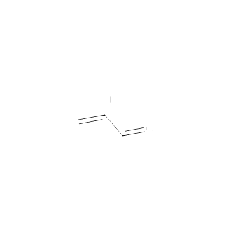 C=CC=O.Cl